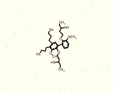 CCC(S)CCOc1c(OC)cccc1-c1cc(CCCS)c(CCCS)c(OC)c1OCCC(S)CC